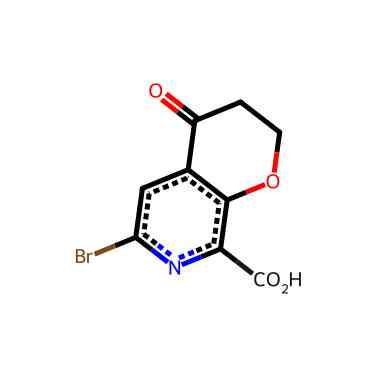 O=C1CCOc2c1cc(Br)nc2C(=O)O